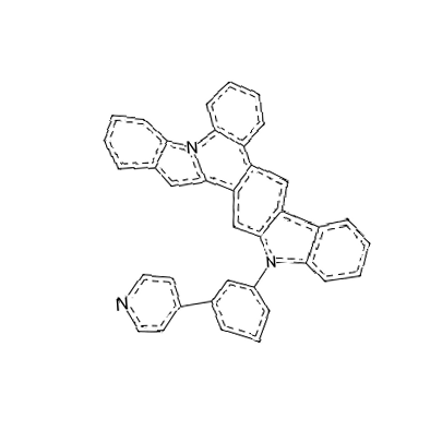 c1cc(-c2ccncc2)cc(-n2c3ccccc3c3cc4c5ccccc5n5c6ccccc6cc5c4cc32)c1